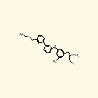 CCCOc1cccc(-c2ccnc(Nc3cc(N)cc(CN(C)CC)c3)n2)c1